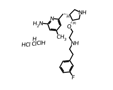 Cc1cc(N)nc(C[C@@H]2CNC[C@@H]2OCCNCCc2cccc(F)c2)c1.Cl.Cl.Cl